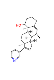 C[C@@H]1C=C2CCCC(O)[C@]2(C)[C@H]2CC[C@]3(C)C(c4cccnc4)=CC[C@H]3[C@H]12